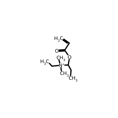 C=CC(=O)OC(CC)[N+](C)(C)CC